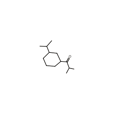 CC(C)C(=O)C1CCCC(C(C)C)C1